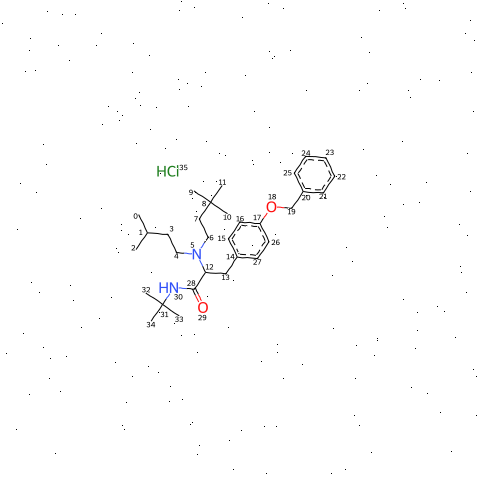 CC(C)CCN(CCC(C)(C)C)C(Cc1ccc(OCc2ccccc2)cc1)C(=O)NC(C)(C)C.Cl